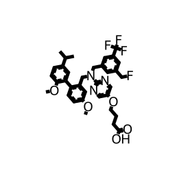 COc1ccc(-c2cc(C(C)C)ccc2OC)c(CN(Cc2cc(CF)cc(C(F)(F)F)c2)c2ncc(OCCCC(=O)O)cn2)c1